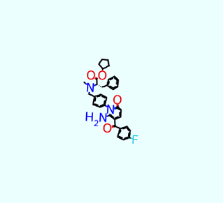 CN(Cc1ccc(-n2c(N)c(C(=O)c3ccc(F)cc3)ccc2=O)cc1)[C@@H](Cc1ccccc1)C(=O)OC1CCCC1